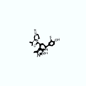 Cc1n[nH]c2nc(-c3ccc(O)c(F)c3)cc(C(=O)N3CCNC[C@@H]3C(C)C)c12